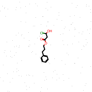 O=C(CC(O)Cl)OCCCc1ccccc1